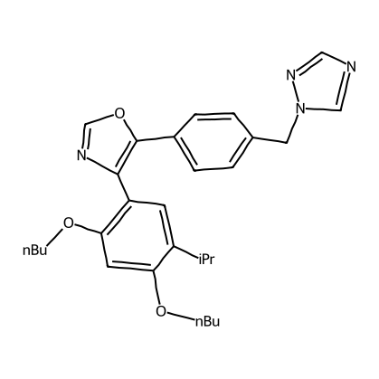 CCCCOc1cc(OCCCC)c(C(C)C)cc1-c1ncoc1-c1ccc(Cn2cncn2)cc1